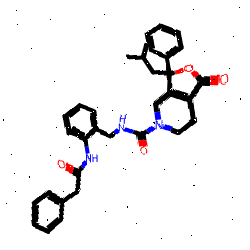 CC(C)CC1(c2ccccc2)OC(=O)C2=C1CN(C(=O)NCc1ccccc1NC(=O)Cc1ccccc1)CC2